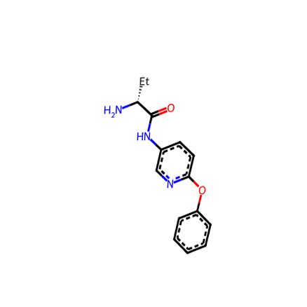 CC[C@@H](N)C(=O)Nc1ccc(Oc2ccccc2)nc1